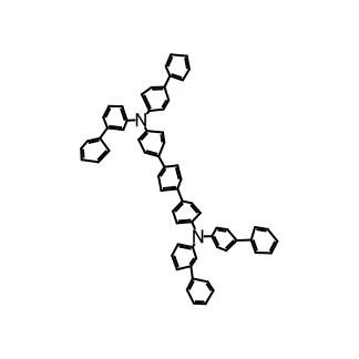 c1ccc(-c2ccc(N(c3ccc(-c4ccc(-c5ccc(N(c6ccc(-c7ccccc7)cc6)c6cccc(-c7ccccc7)c6)cc5)cc4)cc3)c3cccc(-c4ccccc4)c3)cc2)cc1